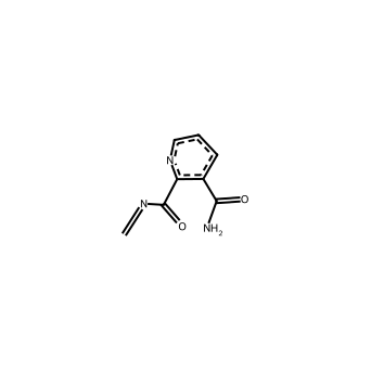 C=NC(=O)c1ncccc1C(N)=O